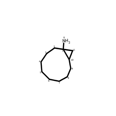 NC12CCCCCCCCC1C2